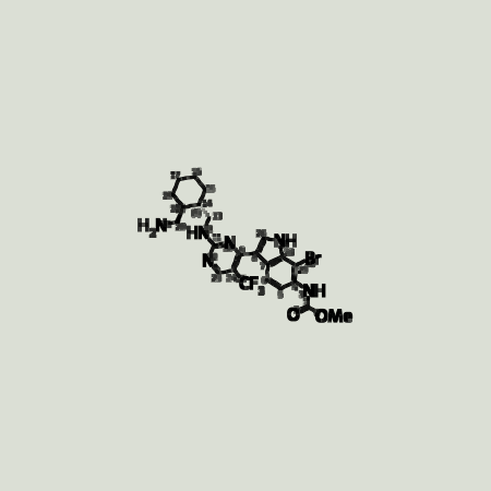 COC(=O)Nc1ccc2c(-c3nc(NC[C@H]4CCCC[C@@H]4CN)ncc3C(F)(F)F)c[nH]c2c1Br